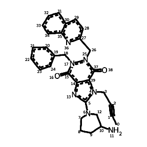 CC#CCn1c(N2CCCC(N)C2)nc2c(=O)n(Cc3ccccc3)n(Cc3ccc4ccccc4n3)c(=O)c21